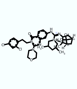 CC1CC(C)CN(/C(=N\C2C[C@@H]3C[C@H]([C@@H]2C)C3(C)C)Nc2ccc3c(=O)n(CCc4ccc(Cl)cc4Cl)c(N4CCOCC4)nc3c2)C1